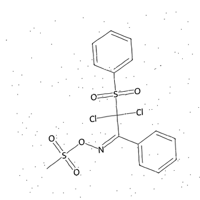 CS(=O)(=O)ON=C(c1ccccc1)C(Cl)(Cl)S(=O)(=O)c1ccccc1